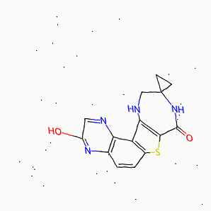 O=C1NC2(CC2)CNc2c1sc1ccc3nc(O)cnc3c21